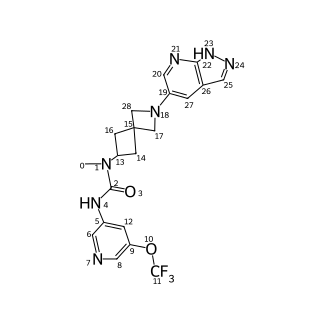 CN(C(=O)Nc1cncc(OC(F)(F)F)c1)C1CC2(C1)CN(c1cnc3[nH]ncc3c1)C2